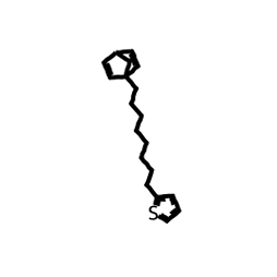 C1=CC2(CCCCCCCCc3cccs3)C=CC1C2